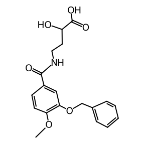 COc1ccc(C(=O)NCCC(O)C(=O)O)cc1OCc1ccccc1